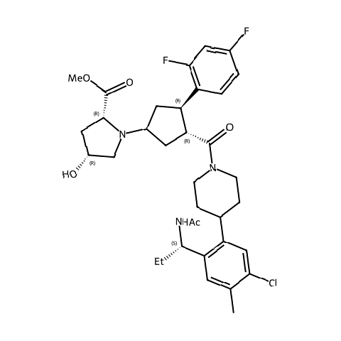 CC[C@H](NC(C)=O)c1cc(C)c(Cl)cc1C1CCN(C(=O)[C@@H]2CC(N3C[C@H](O)C[C@@H]3C(=O)OC)C[C@H]2c2ccc(F)cc2F)CC1